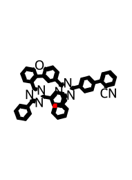 N#Cc1ccccc1-c1ccc(-c2nc(-c3ccccc3)nc(-c3ccc4oc5cccc(-c6nc(-c7ccccc7)nc(-c7ccccc7)n6)c5c4c3)n2)cc1